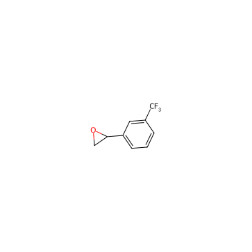 FC(F)(F)c1cccc(C2CO2)c1